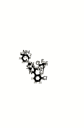 CC1(N)CCN(c2nn3c(NC(=O)C(F)(F)F)c(-c4cccc(Cl)c4Cl)nc3s2)CC1